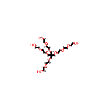 OCCOCCOCCOCC(COCCOCCO)(COCCOCCO)COCCOCCO